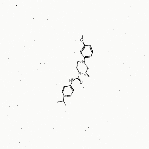 COc1cccc(N2CCN(C(=O)Nc3ccc(C(C)C)cc3)[C@H](C)C2)n1